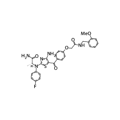 COc1ccccc1CNC(=O)COc1ccc(C(=O)c2sc(N(c3ccc(F)cc3)[C@H](C)C(N)=O)nc2N)cc1